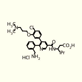 CC(C)C(CC(=O)O)NC(=O)c1cnc(-c2ccccc2CN)c(-c2ccc(Cl)c(OCCCN(C)C)c2)c1.Cl